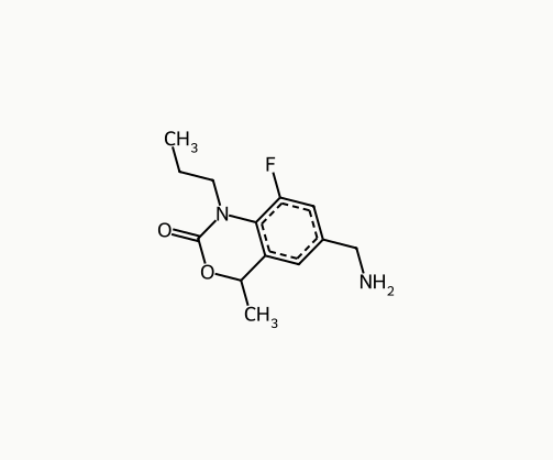 CCCN1C(=O)OC(C)c2cc(CN)cc(F)c21